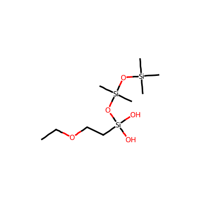 CCOCC[Si](O)(O)O[Si](C)(C)O[Si](C)(C)C